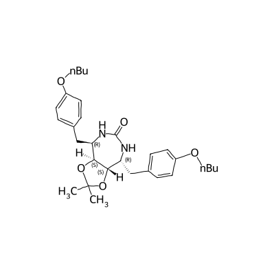 CCCCOc1ccc(C[C@H]2NC(=O)N[C@H](Cc3ccc(OCCCC)cc3)[C@@H]3OC(C)(C)O[C@H]32)cc1